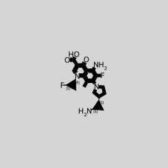 Cc1c(N2CCC([C@@H]3C[C@@H]3N)C2)c(F)c(N)c2c(=O)c(C(=O)O)cn([C@@H]3C[C@@H]3F)c12